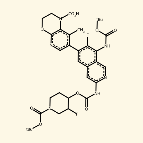 Cc1c(-c2cc3cc(NC(=O)OC4CCN(C(=O)OC(C)(C)C)CC4F)ncc3c(NC(=O)OC(C)(C)C)c2F)cnc2c1N(C(=O)O)CCO2